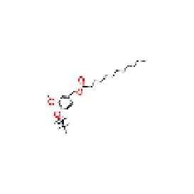 CCCCCCCCCCCC(=O)OCc1ccc(O[Si](C)(C)C(C)(C)C)c(OC)c1